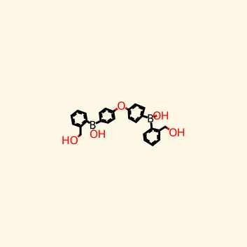 OCc1ccccc1B(O)c1ccc(Oc2ccc(B(O)c3ccccc3CO)cc2)cc1